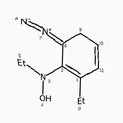 CCC1=C(N(O)CC)C(=[N+]=[N-])CC=C1